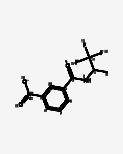 CC(NC(=O)c1cccc([N+](=O)[O-])c1)C(F)(F)F